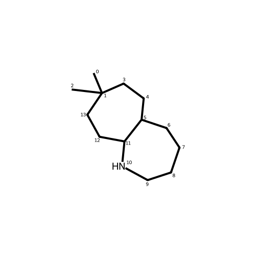 CC1(C)CCC2CCCCNC2CC1